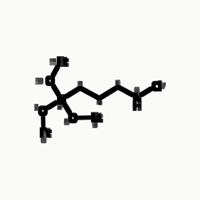 CCO[Si](CCCNCl)(OCC)OCC